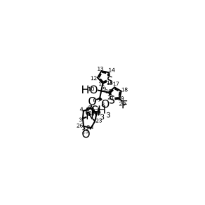 C[N+]1(C)C2CC(OC(=O)C(O)(c3cccs3)c3ccc(F)s3)CC1C1OC12